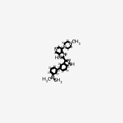 CN1CCN(c2cncc3[nH]c(-c4n[nH]c5ccc(-c6cccc(N(C)C)c6)cc45)nc23)CC1